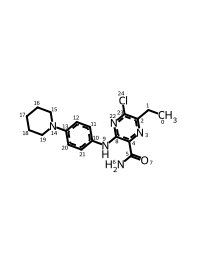 CCc1nc(C(N)=O)c(Nc2ccc(N3CCCCC3)cc2)nc1Cl